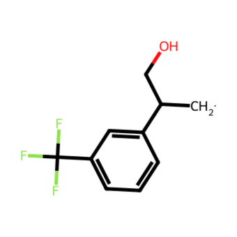 [CH2]C(CO)c1cccc(C(F)(F)F)c1